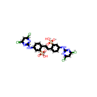 O=S(=O)(O)c1cc(Nc2nc(Cl)cc(Cl)n2)ccc1/C=C/c1ccc(Nc2nc(Cl)cc(Cl)n2)cc1S(=O)(=O)O